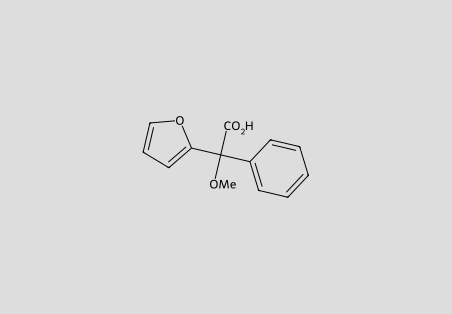 COC(C(=O)O)(c1ccccc1)c1ccco1